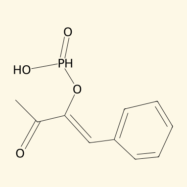 CC(=O)C(=Cc1ccccc1)O[PH](=O)O